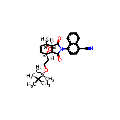 CC(C)(C)[Si](C)(C)OCC[C@@]12C=C[C@@](C)(O1)[C@H]1C(=O)N(c3ccc(C#N)c4ccccc34)C(=O)[C@H]12